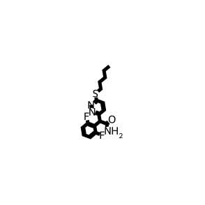 CCCCCSc1ccc(C(C(N)=O)c2c(F)cccc2F)nn1